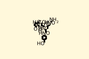 CC(C)[C@H](NN1C(=O)C=CC1=O)C(=O)N[C@@H](CCCNC(N)=O)C(=O)Nc1ccc(CO)cc1